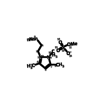 CCCCCCCCCCC[n+]1c(C)cc(C)n1C.COS(=O)(=O)[O-]